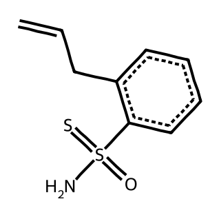 C=CCc1ccccc1S(N)(=O)=S